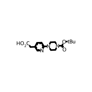 CC(C)(C)OC(=O)N1CCN(c2ccc(CC(=O)O)cn2)CC1